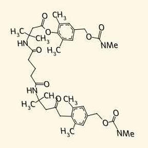 CNC(=O)OCc1cc(C)c(CC(=O)CC(C)(C)NC(=O)CCCC(=O)NC(C)(C)CC(=O)Oc2c(C)cc(COC(=O)NC)cc2C)c(C)c1